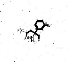 N[C@@](CF)(C[C@H](O)C(F)(F)F)c1cccc(Br)c1